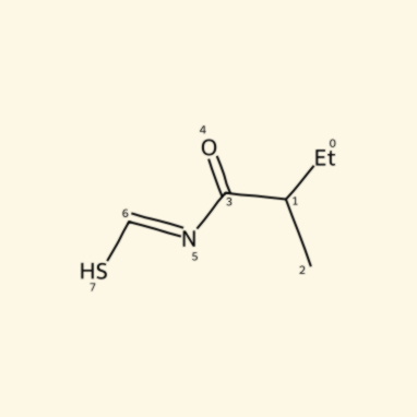 CCC(C)C(=O)/N=C/S